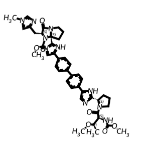 COC(=O)N[C@H](C(=O)N1CCC[C@H]1c1ncc(-c2ccc(-c3ccc(-c4cnc([C@]56CCCN5C(=O)[C@H](Cc5cn(C)cn5)N6C(=O)OC)[nH]4)cc3)cc2)[nH]1)[C@@H](C)OC